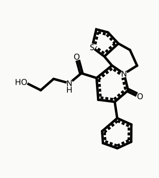 O=C(NCCO)c1cc(-c2ccccc2)c(=O)n2c1-c1sccc1CC2